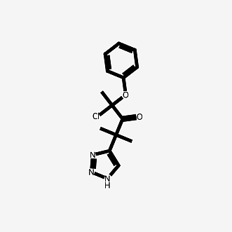 CC(Cl)(Oc1ccccc1)C(=O)C(C)(C)c1c[nH]nn1